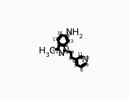 Cc1nn(CCc2cccnc2)c2cc(N)ccc12